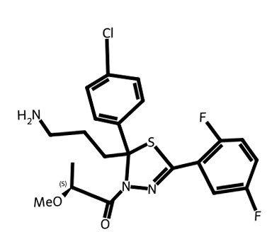 CO[C@@H](C)C(=O)N1N=C(c2cc(F)ccc2F)SC1(CCCN)c1ccc(Cl)cc1